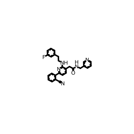 N#Cc1ccccc1-c1ccc(CC(=O)NCc2cccnc2)c(NCCc2cccc(F)c2)n1